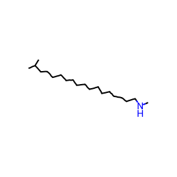 CNCCCCCCCCCCCCCCCCC(C)C